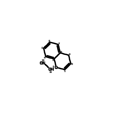 C1=COc2ccccc2C1.O=NO